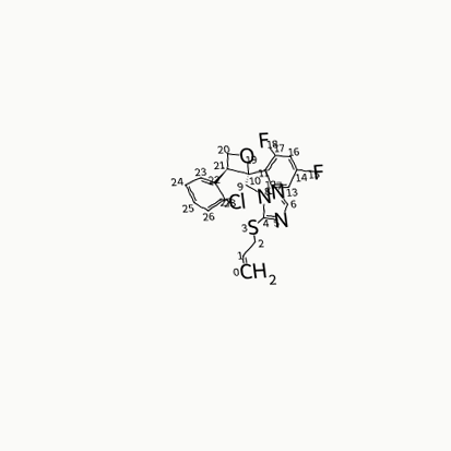 C=CCSc1ncnn1C[C@@]1(c2ccc(F)cc2F)OC[C@@H]1c1ccccc1Cl